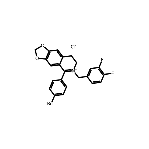 CC(C)(C)c1ccc(C2=[N+](Cc3ccc(F)c(F)c3)CCc3cc4c(cc32)OCO4)cc1.[Cl-]